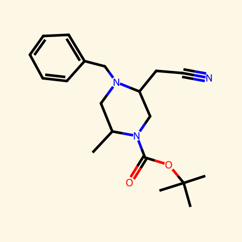 CC1CN(Cc2ccccc2)C(CC#N)CN1C(=O)OC(C)(C)C